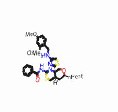 CCCCC[C@H]1C[C@H]2CSC(NC(=O)c3ccccc3)=N[C@@]2(c2nc(NCc3ccc(OC)cc3OC)cs2)CO1